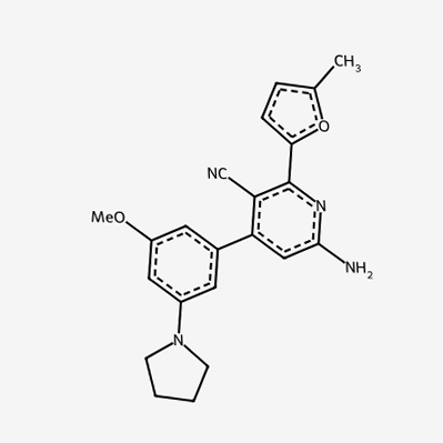 COc1cc(-c2cc(N)nc(-c3ccc(C)o3)c2C#N)cc(N2CCCC2)c1